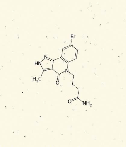 Cc1[nH]nc2c1c(=O)n(CCCC(N)=O)c1ccc(Br)cc21